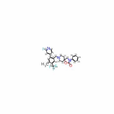 Cc1cc(-c2ccnc(F)c2)c(CN2CCC3(CC2)CN(c2ccccc2)C(=O)O3)cc1C(F)(F)F